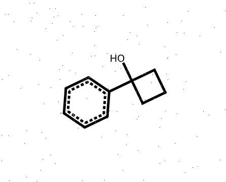 OC1(c2cc[c]cc2)CCC1